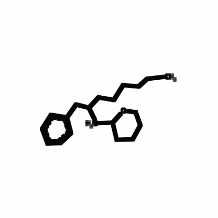 CCCCCCC(Cc1ccccc1)[SiH2]C1CCCCO1